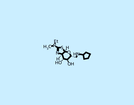 CCN(C)C1=N[C@@H]2[C@@H](O)[C@H](O)[C@@H](CNC3CCCC3)O[C@@H]2S1